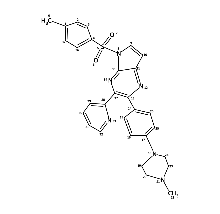 Cc1ccc(S(=O)(=O)n2ccc3nc(-c4ccc(N5CCN(C)CC5)cc4)c(-c4ccccn4)nc32)cc1